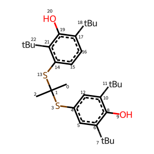 CC(C)(Sc1cc(C(C)(C)C)c(O)c(C(C)(C)C)c1)Sc1ccc(C(C)(C)C)c(O)c1C(C)(C)C